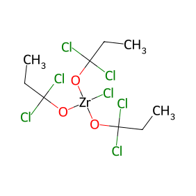 CCC(Cl)(Cl)[O][Zr]([Cl])([O]C(Cl)(Cl)CC)[O]C(Cl)(Cl)CC